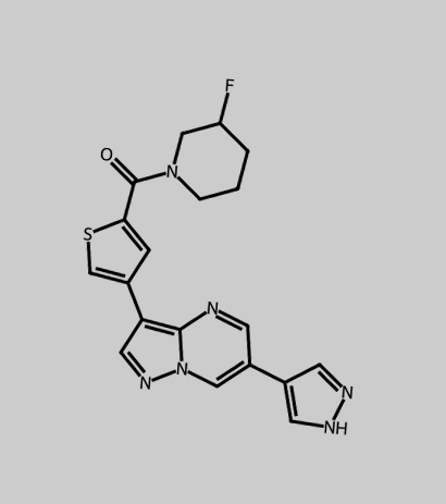 O=C(c1cc(-c2cnn3cc(-c4cn[nH]c4)cnc23)cs1)N1CCCC(F)C1